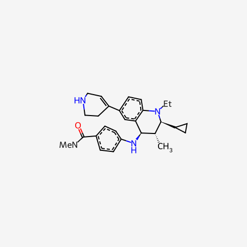 CCN1c2ccc(C3=CCNCC3)cc2[C@H](Nc2ccc(C(=O)NC)cc2)[C@@H](C)[C@@H]1C1CC1